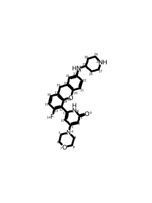 O=c1cc(N2CCOCC2)cc(-c2c(F)ccc3c2Oc2ccc(NC4CCNCC4)cc2C3)[nH]1